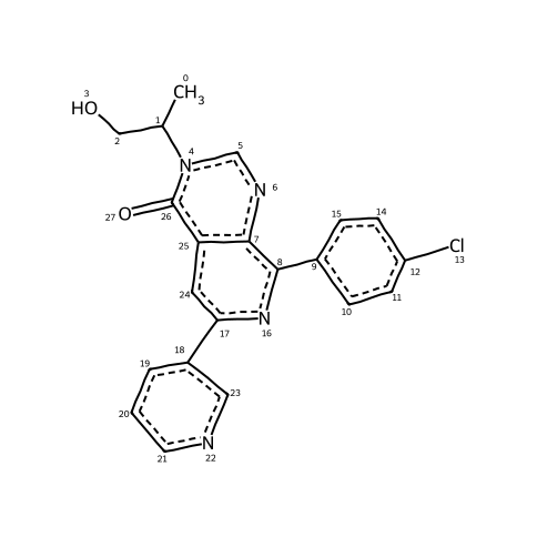 CC(CO)n1cnc2c(-c3ccc(Cl)cc3)nc(-c3cccnc3)cc2c1=O